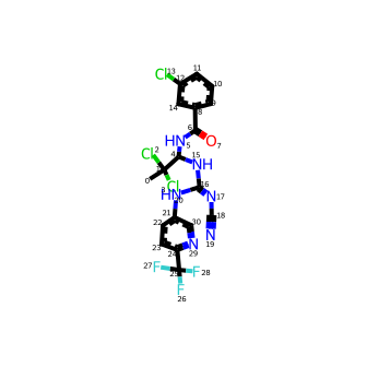 CC(Cl)(Cl)C(NC(=O)c1cccc(Cl)c1)N/C(=N/C#N)Nc1ccc(C(F)(F)F)nc1